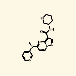 CN(c1cccnc1)c1ccn2ncc(C(=O)N[C@@H]3CCCNC3)c2n1